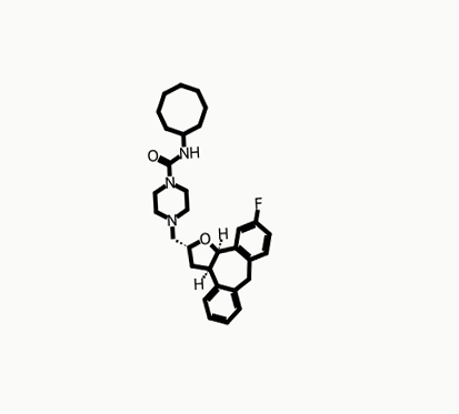 O=C(NC1CCCCCCC1)N1CCN(C[C@H]2C[C@@H]3c4ccccc4Cc4ccc(F)cc4[C@@H]3O2)CC1